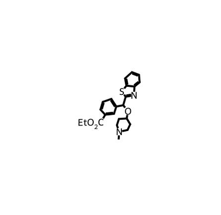 CCOC(=O)c1cccc(C(OC2CCN(C)CC2)c2nc3ccccc3s2)c1